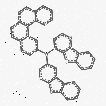 c1ccc2c(c1)ccc1ccc3ccc(N(c4cnc5oc6ccccc6c5c4)c4ccnc5c4oc4ccccc45)cc3c12